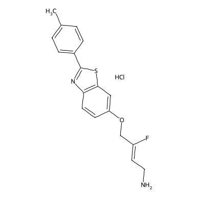 Cc1ccc(-c2nc3ccc(OCC(F)=CCN)cc3s2)cc1.Cl